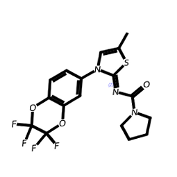 Cc1cn(-c2ccc3c(c2)OC(F)(F)C(F)(F)O3)/c(=N/C(=O)N2CCCC2)s1